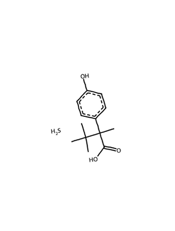 CC(C)(C)C(C)(C(=O)O)c1ccc(O)cc1.S